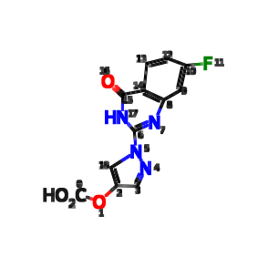 O=C(O)Oc1cnn(-c2nc3cc(F)ccc3c(=O)[nH]2)c1